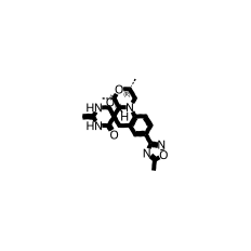 C=C1NC(=O)C2(Cc3cc(-c4noc(C)n4)ccc3N3C[C@@H](C)O[C@@H](C)[C@@H]32)C(=O)N1